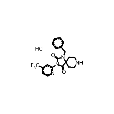 Cl.O=C1N(c2cc(C(F)(F)F)ccn2)C(=O)C2(CCNCC2)N1Cc1ccccc1